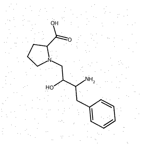 NC(Cc1ccccc1)C(O)CN1CCCC1C(=O)O